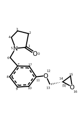 O=C1CCCN1Cc1cccc(OC[C@@H]2CO2)c1